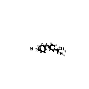 CC(C)N1CCC(CC2=CCCN(C)CC2)CC1